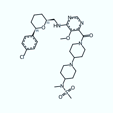 COc1c(NC[C@@H]2CCC[C@H](c3ccc(Cl)cc3)O2)ncnc1C(=O)N1CCC(N2CCC(N(C)S(C)(=O)=O)CC2)CC1